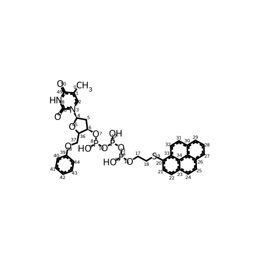 Cc1cn([C@H]2C[C@@H](OP(O)OP(O)OP(O)OCCSc3ccc4ccc5cccc6ccc3c4c56)C(COc3ccccc3)O2)c(=O)[nH]c1=O